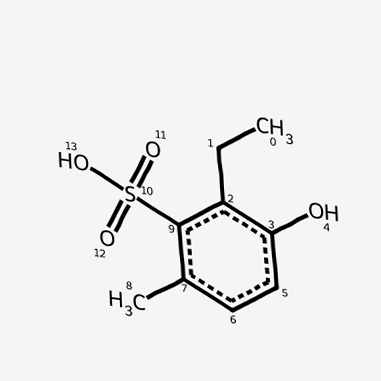 CCc1c(O)ccc(C)c1S(=O)(=O)O